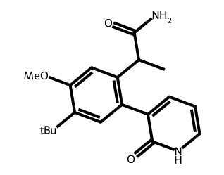 COc1cc(C(C)C(N)=O)c(-c2ccc[nH]c2=O)cc1C(C)(C)C